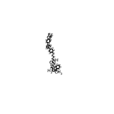 Cc1cs/c(=N\C(=O)NCCCCc2ccc(-c3ncn(-c4ccc(OC(F)(F)F)cc4)n3)cc2)n1-c1ccccc1C(C)C